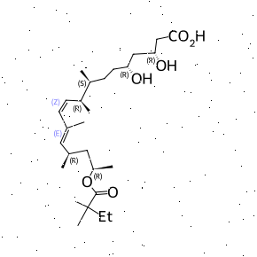 CCC(C)(C)C(=O)O[C@H](C)C[C@@H](C)/C=C(C)/C=C\[C@H](C)[C@@H](C)CC[C@@H](O)C[C@@H](O)CC(=O)O